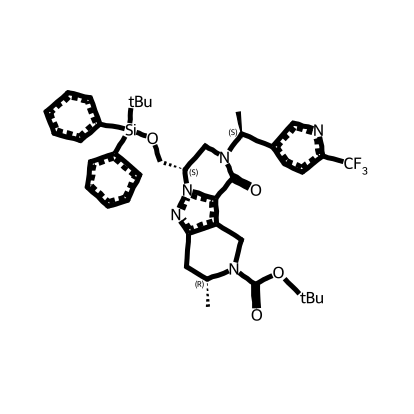 C[C@@H]1Cc2nn3c(c2CN1C(=O)OC(C)(C)C)C(=O)N([C@@H](C)c1ccc(C(F)(F)F)nc1)C[C@H]3CO[Si](c1ccccc1)(c1ccccc1)C(C)(C)C